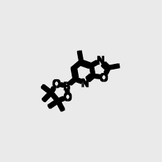 Cc1nc2c(C)cc(B3OC(C)(C)C(C)(C)O3)nc2o1